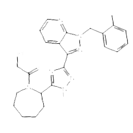 CC(C)CC(=O)N1CCCCCC1c1nc(-c2nn(Cc3ccccc3F)c3ncccc23)n[nH]1